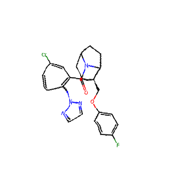 O=C(c1cc(Cl)ccc1-n1nccn1)N1C2CCC1[C@@H](COc1ccc(F)cc1)CC2